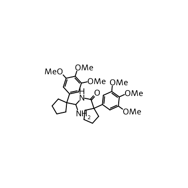 COc1cc(C2(C(=O)NC(N)C3(c4cc(OC)c(OC)c(OC)c4)CCCC3)CCCC2)cc(OC)c1OC